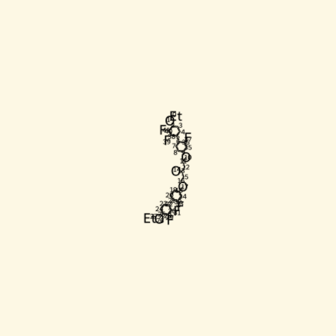 CCOc1ccc(-c2ccc(OCCC(=O)CCOc3ccc(-c4ccc(OCC)c(F)c4F)c(F)c3)cc2F)c(F)c1F